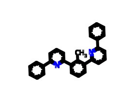 Cc1c(-c2cccc(-c3ccccc3)n2)cccc1-c1cccc(-c2ccccc2)n1